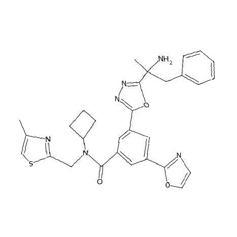 Cc1csc(CN(C(=O)c2cc(-c3ncco3)cc(-c3nnc(C(C)(N)Cc4ccccc4)o3)c2)C2CCC2)n1